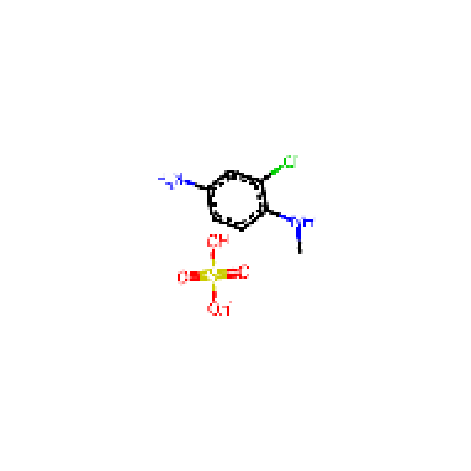 CNc1ccc(N)cc1Cl.O=S(=O)(O)O